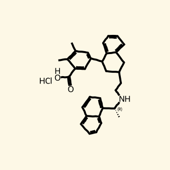 Cc1cc(C2CC(CCN[C@H](C)c3cccc4ccccc34)Cc3ccccc32)cc(C(=O)O)c1C.Cl